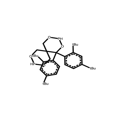 CC(C)(C)c1ccc(C2(c3ccc(C(C)(C)C)cc3C(C)(C)C)OPOCC23COPOC3)c(C(C)(C)C)c1